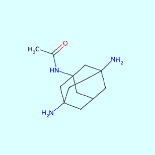 CC(=O)NC12CC3CC(N)(CC(N)(C3)C1)C2